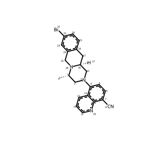 C[C@H]1CN(c2ccc(C#N)c3ncccc23)C[C@@H]2Cc3ccc(Br)cc3CN21